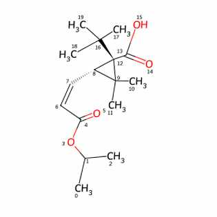 CC(C)OC(=O)/C=C\[C@H]1C(C)(C)[C@]1(C(=O)O)C(C)(C)C